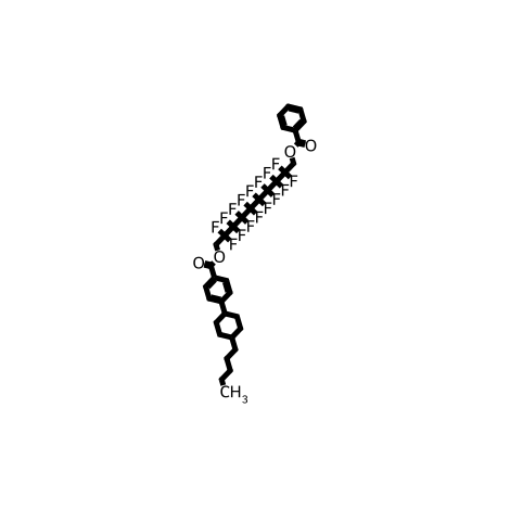 CCCCCC1CCC(c2ccc(C(=O)OCC(F)(F)C(F)(F)C(F)(F)C(F)(F)C(F)(F)C(F)(F)C(F)(F)C(F)(F)COC(=O)c3ccccc3)cc2)CC1